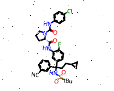 CC(C)(C)S(=O)(=O)NC(CCC1CC1)(c1cccc(C#N)c1)c1ccc(F)c(NC(=O)[C@@H]2CCCN2C(=O)Nc2ccc(Cl)cc2)c1